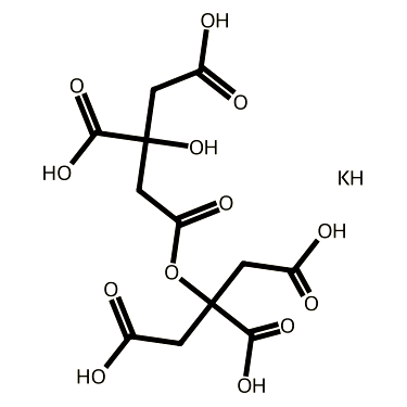 O=C(O)CC(O)(CC(=O)OC(CC(=O)O)(CC(=O)O)C(=O)O)C(=O)O.[KH]